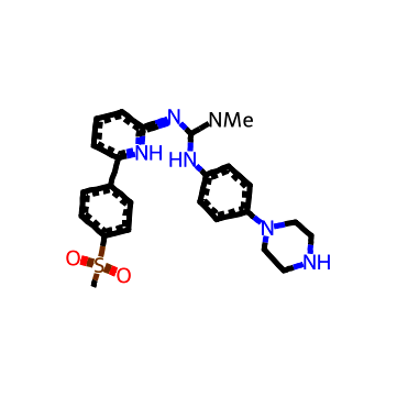 CNC(/N=c1/cccc(-c2ccc(S(C)(=O)=O)cc2)[nH]1)Nc1ccc(N2CCNCC2)cc1